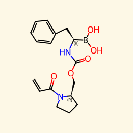 C=CC(=O)N1CCC[C@@H]1COC(=O)N[C@@H](Cc1ccccc1)B(O)O